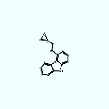 c1ccc2c(c1)[nH]c1cccc(CCC3CO3)c12